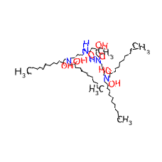 CCCCCCCCCCC(O)CN(CCCCNC(=O)CC(C)(O)CC(=O)NCCCCN(CC(O)CCCCCCCCCC)CC(O)CCCCCCCCCC)CC(O)CCCCCCCCCC